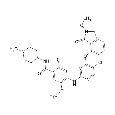 COc1cc(C(=O)NC2CCN(C)CC2)c(Cl)cc1Nc1ncc(Cl)c(Oc2cccc3c2C(=O)N(OC)C3)n1